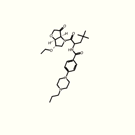 CCCN1CCN(c2ccc(C(=O)NC(CC(C)(C)C)C(=O)N3C[C@H](OCC)[C@H]4OCC(=O)[C@H]43)cc2)CC1